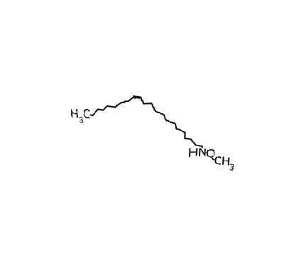 CCCCCCCC/C=C\CCCCCCCCCCCCNOCC